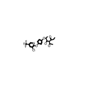 CCC(=O)C(C(C)=O)C(=O)C(C)Oc1ccc(Oc2ncc(C(F)(F)F)cc2Cl)cc1